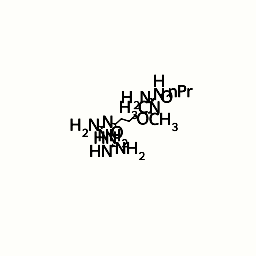 CCCONC(N)=NC(C)(C)OCCCC(N=C(N)N)ONC(=N)N